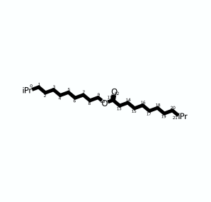 CC(C)CCCCCCCCCOC(=O)CCCCCCCCC(C)C